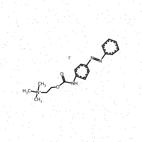 C[N+](C)(C)CCOC(=O)Nc1ccc(N=Nc2ccccc2)cc1.[I-]